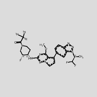 [2H]C([2H])([2H])C(=O)N1CC[C@H](Nc2nc(OC)c3c(-c4ccc5nnn([C@@H](C)C(F)F)c5c4)ccn3n2)[C@H](F)C1